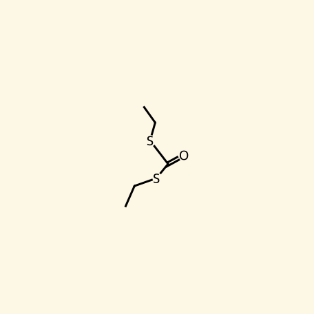 CCSC(=O)SCC